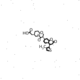 Cc1ccsc1-c1cc(=O)oc2cc([C@H](C=O)C(=O)N3CCC[C@H](CC(=O)O)C3)ccc12